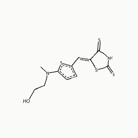 CN(CCO)c1ccc(/C=C2\SC(=S)NC2=S)s1